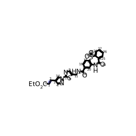 CCOC(=O)/C=C/c1cnn(-c2ncc(CNC(=O)c3ccc4c(c3)NC(=O)c3ccccc3S4(=O)=O)s2)c1